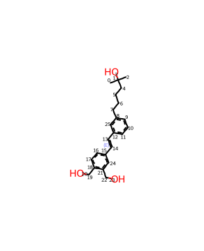 CC(C)(O)CCCCc1cccc(/C=C/c2ccc(CO)c(CO)c2)c1